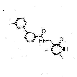 Cc1cccc(-c2cccc(C(=O)NCc3c(C)cc(C)[nH]c3=O)c2)c1